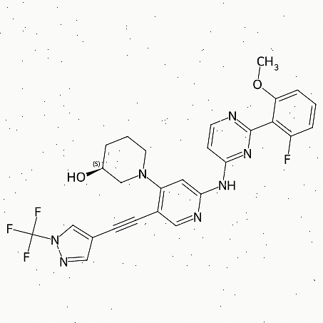 COc1cccc(F)c1-c1nccc(Nc2cc(N3CCC[C@H](O)C3)c(C#Cc3cnn(C(F)(F)F)c3)cn2)n1